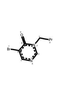 CC(C)Cn1cncc(Br)c1=O